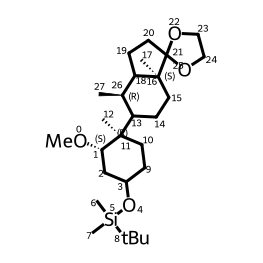 CO[C@H]1CC(O[Si](C)(C)C(C)(C)C)CC[C@]1(C)C1CC[C@@]2(C)C(CCC23OCCO3)[C@@H]1C